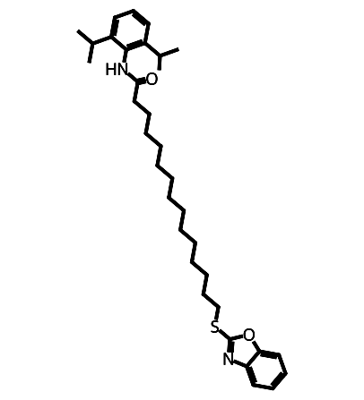 CC(C)c1cccc(C(C)C)c1NC(=O)CCCCCCCCCCCCCCSc1nc2ccccc2o1